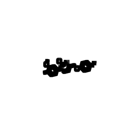 COc1cc(-n2ccc(COc3ccc(F)cc3)nc2=O)ccc1C